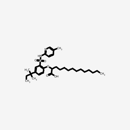 CCCCCCCCCCCCC(Oc1ccc(C(C)(C)CC)cc1S(=O)(=O)Nc1ccc(C)cn1)C(=O)O